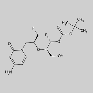 CC(C)(C)OC(=O)O[C@@H](F)[C@@H](CO)O[C@H](CF)Cn1ccc(N)nc1=O